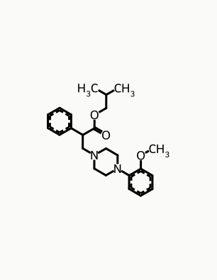 COc1ccccc1N1CCN(CC(C(=O)OCC(C)C)c2ccccc2)CC1